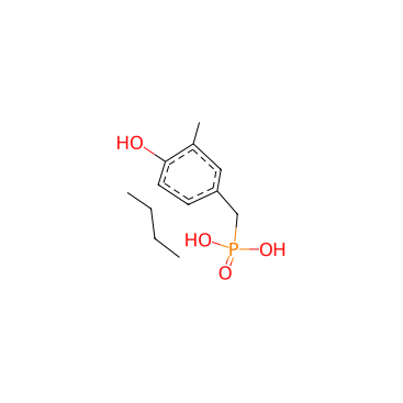 CCCC.Cc1cc(CP(=O)(O)O)ccc1O